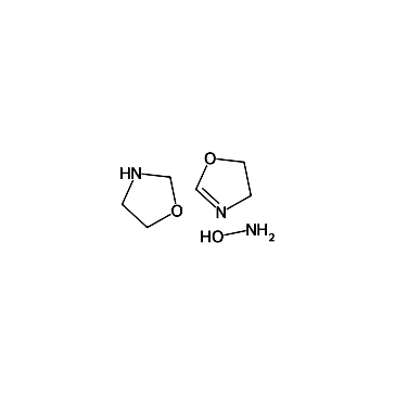 C1=NCCO1.C1COCN1.NO